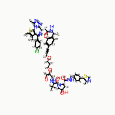 Cc1ncsc1-c1ccc(CNC(=O)[C@@H]2C[C@@H](O)CN2C(=O)[C@@H](NCC(C=O)OCCCOCC#Cc2ccc([C@@H](C)NC(=O)C[C@@H]3N=C(c4ccc(Cl)cc4)c4c(sc(C)c4C)-n4c(C)nnc43)cc2)C(C)(C)C)cc1